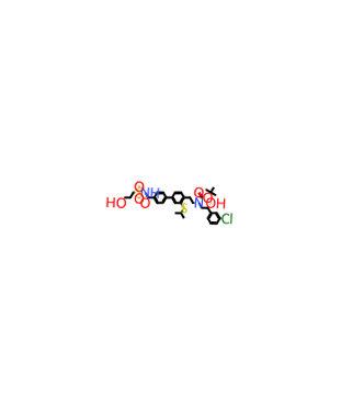 CC(C)Sc1cc(-c2ccc(C(=O)NS(=O)(=O)CCCO)cc2)ccc1CCN(C[C@H](O)c1cccc(Cl)c1)C(=O)OC(C)(C)C